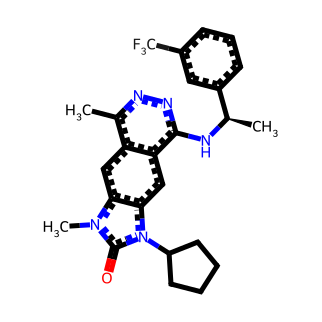 Cc1nnc(N[C@H](C)c2cccc(C(F)(F)F)c2)c2cc3c(cc12)n(C)c(=O)n3C1CCCC1